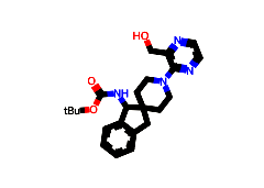 CC(C)(C)OC(=O)NC1c2ccccc2CC12CCN(c1nccnc1CO)CC2